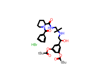 Br.CC(C)(CNC(=O)C1CCCCN1C(=O)c1ccccc1)NCC(O)c1cc(OC(=O)C(C)(C)C)cc(OC(=O)C(C)(C)C)c1